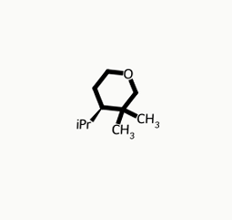 CC(C)[C@H]1CCOCC1(C)C